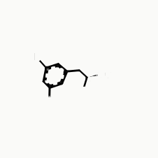 O=C(O)[C@@H](I)Cc1cc(F)cc(F)c1